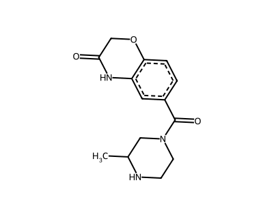 CC1CN(C(=O)c2ccc3c(c2)NC(=O)CO3)CCN1